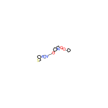 c1ccc(COCOc2ccc3ccc(OCCCCN4CCN(c5cccc6sccc56)CC4)cc3n2)cc1